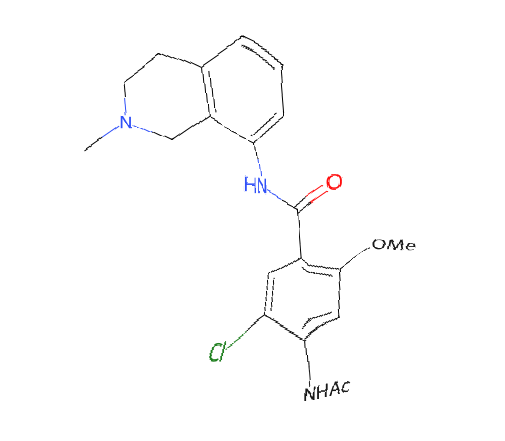 COc1cc(NC(C)=O)c(Cl)cc1C(=O)Nc1cccc2c1CN(C)CC2